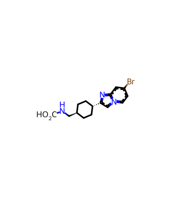 O=C(O)NC[C@H]1CC[C@H](c2cn3ccc(Br)cc3n2)CC1